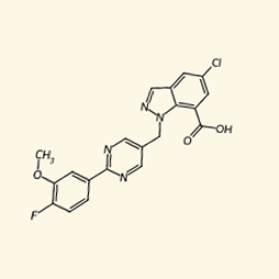 COc1cc(-c2ncc(Cn3ncc4cc(Cl)cc(C(=O)O)c43)cn2)ccc1F